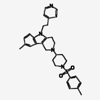 Cc1ccc(S(=O)(=O)N2CCC(N3CCc4c(c5cc(C)ccc5n4CCc4ccncc4)C3)CC2)cc1